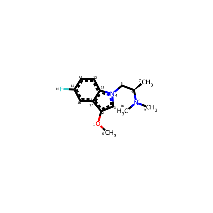 COc1cn(C[C@@H](C)N(C)C)c2ccc(F)cc12